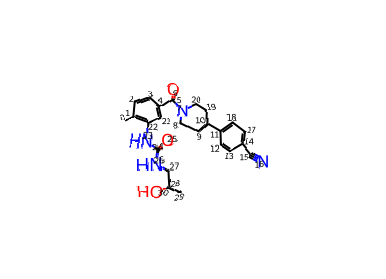 Cc1ccc(C(=O)N2CCC(c3ccc(C#N)cc3)CC2)cc1NC(=O)NCC(C)O